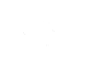 Cc1c(NC2CCCC2O)ccc(C#N)c1Cl